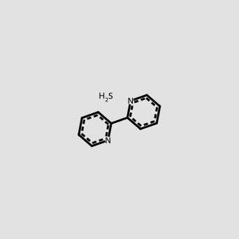 S.c1ccc(-c2ccccn2)nc1